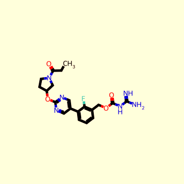 CCC(=O)N1CCC(Oc2ncc(-c3cccc(COC(=O)NC(=N)N)c3F)cn2)C1